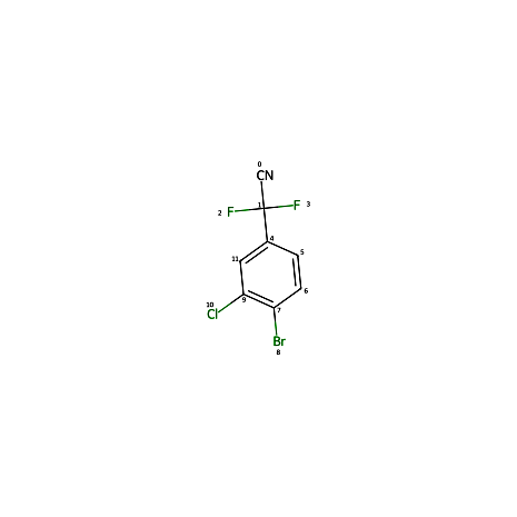 N#CC(F)(F)c1ccc(Br)c(Cl)c1